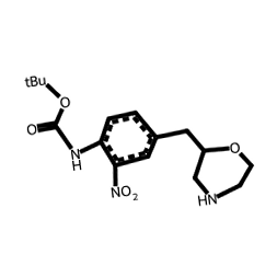 CC(C)(C)OC(=O)Nc1ccc(CC2CNCCO2)cc1[N+](=O)[O-]